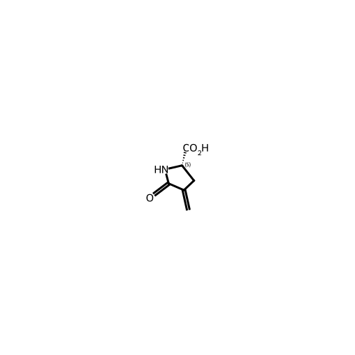 C=C1C[C@@H](C(=O)O)NC1=O